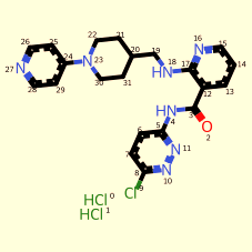 Cl.Cl.O=C(Nc1ccc(Cl)nn1)c1cccnc1NCC1CCN(c2ccncc2)CC1